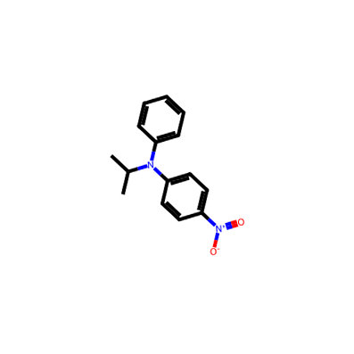 CC(C)N(c1ccccc1)c1ccc([N+](=O)[O-])cc1